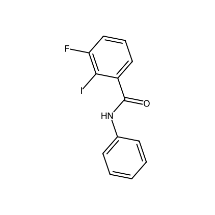 O=C(Nc1ccccc1)c1cccc(F)c1I